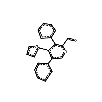 O=Cc1ncc(-c2ccccc2)c(-n2cccn2)c1-c1ccccc1